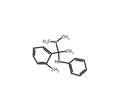 Cc1ccccc1C(C)(Nc1ccccc1)N(C)C